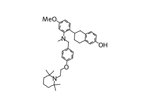 COc1ccc(C2CCc3cc(O)ccc3C2)c(N(C)Cc2ccc(OCCN3C(C)(C)CCCC3(C)C)cc2)c1